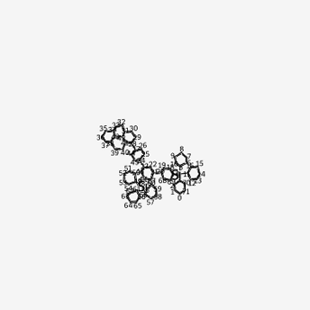 c1ccc([Si](c2ccccc2)(c2ccccc2)c2ccc(-c3cc(-c4ccc(-c5ccc6ccc7cccc8ccc5c6c78)cc4)cc([Si](c4ccccc4)(c4ccccc4)c4ccccc4)c3)cc2)cc1